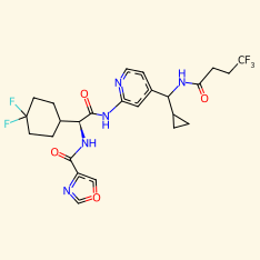 O=C(CCC(F)(F)F)NC(c1ccnc(NC(=O)[C@@H](NC(=O)c2cocn2)C2CCC(F)(F)CC2)c1)C1CC1